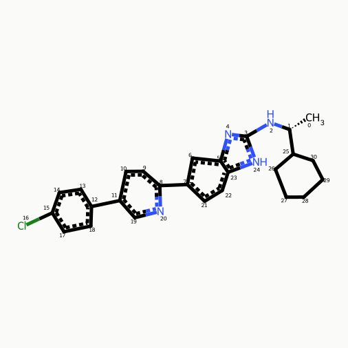 C[C@@H](Nc1nc2cc(-c3ccc(-c4ccc(Cl)cc4)cn3)ccc2[nH]1)C1CCCCC1